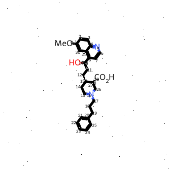 COc1ccc2nccc([C@H](O)CC[C@@H]3CCN(CCCc4ccccc4)C[C@@H]3C(=O)O)c2c1